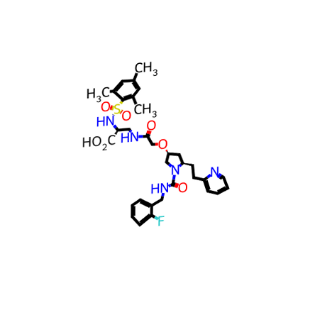 Cc1cc(C)c(S(=O)(=O)N[C@@H](CNC(=O)CO[C@@H]2C[C@@H](CCc3ccccn3)N(C(=O)NCc3ccccc3F)C2)C(=O)O)c(C)c1